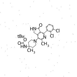 Cc1nc(-c2cccc(Cl)c2Cl)c2c(c1N1CCC(C)(NC(=O)OC(C)(C)C)CC1)CNC2=O